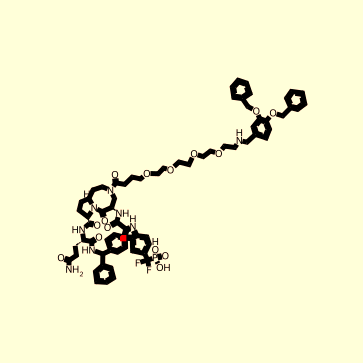 NC(=O)CC[C@H](NC(=O)[C@@H]1CC[C@@H]2CCN(C(=O)CCCOCCOCCOCCOCCNCc3ccc(OCc4ccccc4)c(OCc4ccccc4)c3)C[C@H](NC(=O)c3cc4cc(C(F)(F)P(=O)(O)O)ccc4[nH]3)C(=O)N21)C(=O)NC(c1ccccc1)c1ccccc1